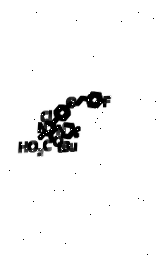 Cc1nc(Cl)c(-c2ccc(OCCc3ccc(F)cc3)cc2)c(N2CCC(C)(C)CC2)c1[C@H](OC(C)(C)C)C(=O)O